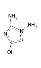 Nc1nc(O)cn1N